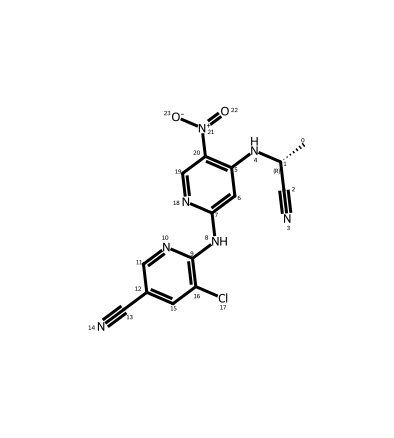 C[C@H](C#N)Nc1cc(Nc2ncc(C#N)cc2Cl)ncc1[N+](=O)[O-]